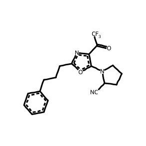 N#CC1CCCN1c1oc(CCCc2ccccc2)nc1C(=O)C(F)(F)F